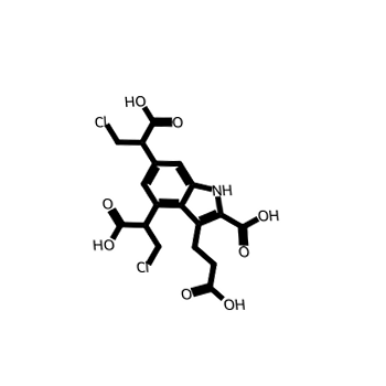 O=C(O)CCc1c(C(=O)O)[nH]c2cc(C(CCl)C(=O)O)cc(C(CCl)C(=O)O)c12